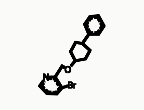 Brc1cccnc1COC1CCC(c2ccccc2)CC1